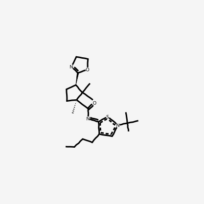 CCCCc1cn(C(C)(C)C)sc1=NC(=O)[C@@]1(C)CC[C@@H](C2=NCCO2)C1(C)C